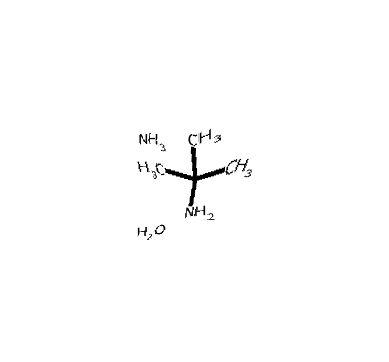 CC(C)(C)N.N.O